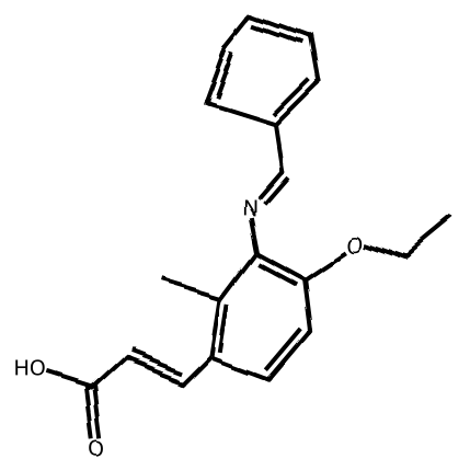 CCOc1ccc(C=CC(=O)O)c(C)c1N=Cc1ccccc1